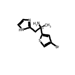 C[C@](N)(Cc1ncc[nH]1)c1cc(Br)cs1